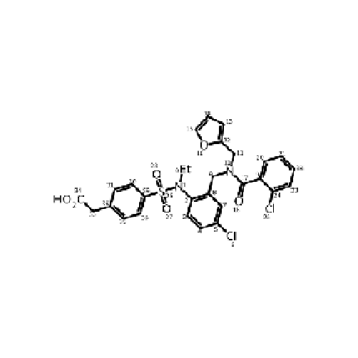 CCN(c1ccc(Cl)cc1CN(Cc1ccco1)C(=O)c1ccccc1Cl)S(=O)(=O)c1ccc(CC(=O)O)cc1